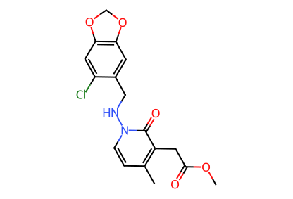 COC(=O)Cc1c(C)ccn(NCc2cc3c(cc2Cl)OCO3)c1=O